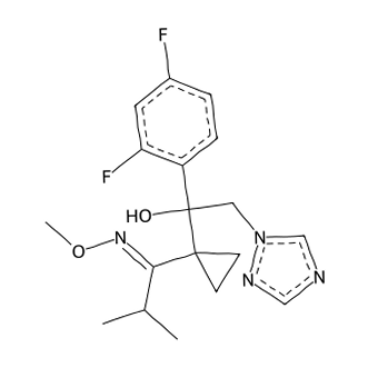 CON=C(C(C)C)C1(C(O)(Cn2cncn2)c2ccc(F)cc2F)CC1